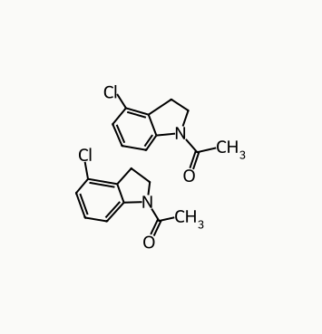 CC(=O)N1CCc2c(Cl)cccc21.CC(=O)N1CCc2c(Cl)cccc21